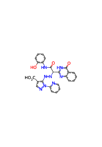 O=C(O)c1cnn(-c2ccccn2)c1N=NC(C(=O)Nc1ccccc1O)c1nc2ccccc2c(=O)[nH]1